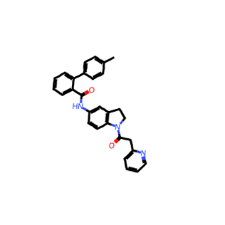 Cc1ccc(-c2ccccc2C(=O)Nc2ccc3c(c2)CCN3C(=O)Cc2ccccn2)cc1